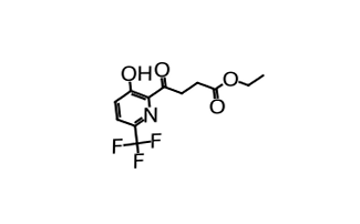 CCOC(=O)CCC(=O)c1nc(C(F)(F)F)ccc1O